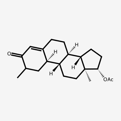 CC(=O)O[C@H]1CC[C@H]2[C@@H]3CCC4=CC(=O)C(C)C[C@@H]4[C@H]3CC[C@]12C